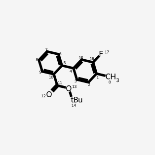 Cc1ccc(-c2ccccc2C(=O)OC(C)(C)C)cc1F